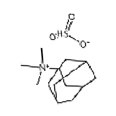 C[N+](C)(C)C12CC3CC(CC(C3)C1)C2.O=[SH](=O)[O-]